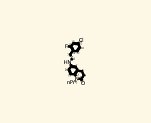 CCCN1C(=O)CCc2cc(NSCc3ccc(Cl)cc3F)ccc21